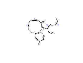 C=C/C(=C\C=C/C)N1C(=C)/C=C\C=C/Cc2cc(C)ccc21